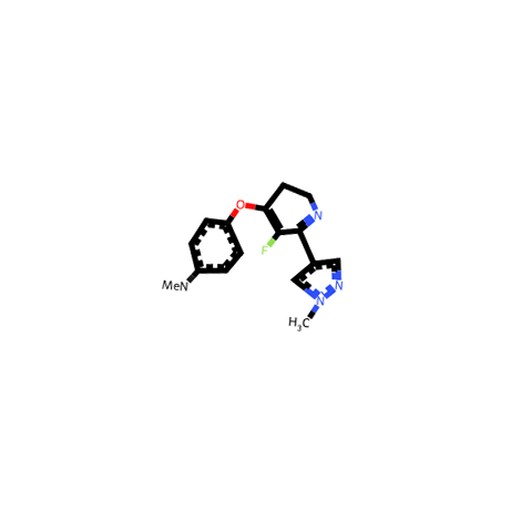 CNc1ccc(OC2=C(F)C(c3cnn(C)c3)=NCC2)cc1